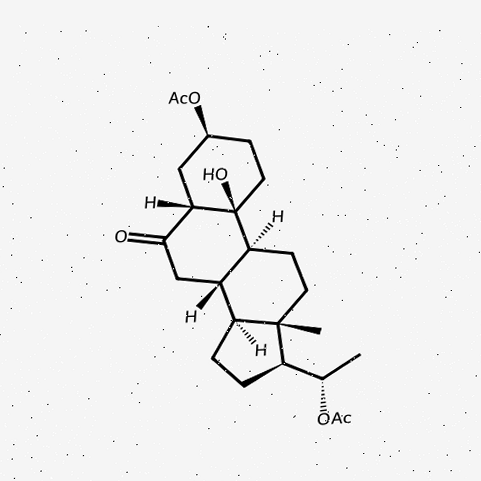 CC(=O)O[C@H]1CC[C@@]2(O)[C@@H](C1)C(=O)C[C@H]1[C@@H]3CC[C@H]([C@H](C)OC(C)=O)[C@@]3(C)CC[C@@H]12